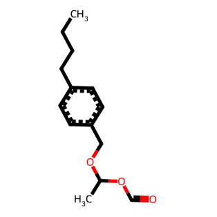 CCCCc1ccc(COC(C)OC=O)cc1